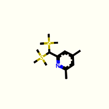 Cc1cc(C)nc(C(S(C)(C)C)S(C)(C)C)c1